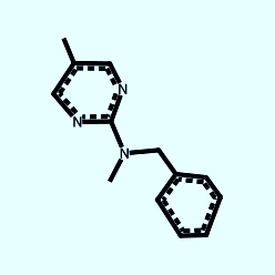 Cc1cnc(N(C)Cc2ccccc2)nc1